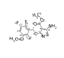 COC(=O)c1c(OCc2c(F)c(F)cc(OC)c2F)nsc1N